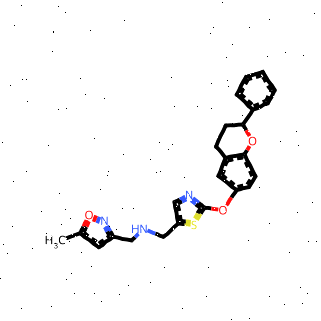 Cc1cc(CNCc2cnc(Oc3ccc4c(c3)CCC(c3ccccc3)O4)s2)no1